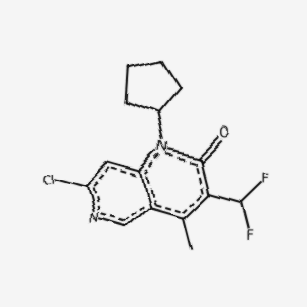 Cc1c(C(F)F)c(=O)n(C2CCCC2)c2cc(Cl)ncc12